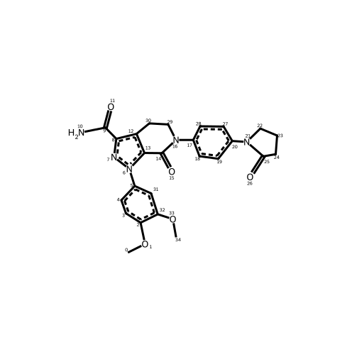 COc1ccc(-n2nc(C(N)=O)c3c2C(=O)N(c2ccc(N4CCCC4=O)cc2)CC3)cc1OC